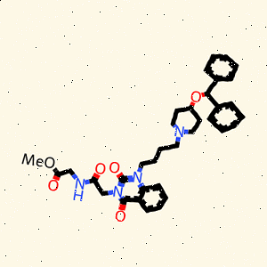 COC(=O)CNC(=O)Cn1c(=O)c2ccccc2n(CCCCN2CCC(OC(c3ccccc3)c3ccccc3)CC2)c1=O